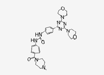 CN1CCN(C(=O)c2ccc(NC(=O)Nc3ccc(-c4nc(N5CCOCC5)nc(N5CCOCC5)n4)cc3)cc2)CC1